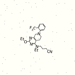 CCOc1nc2c(c(N(CC)CCCC#N)n1)CCN(c1ccccc1C(F)(F)F)C2